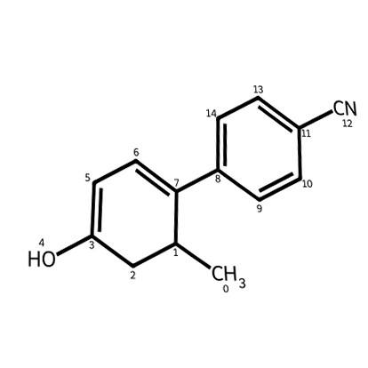 CC1CC(O)=CC=C1c1ccc(C#N)cc1